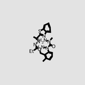 CCC(=NN=C(C)c1nc2ccccc2s1)OCc1c(C)cccc1N(N)C(=O)N(C)N